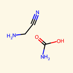 N#CCN.NC(=O)O